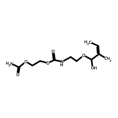 CC=C(C)C(O)OCCNC(=O)OCCOC(N)=O